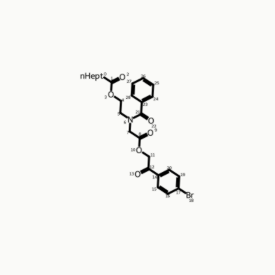 CCCCCCCC(=O)OCCN(CC(=O)OCC(=O)c1ccc(Br)cc1)C(=O)c1ccccc1